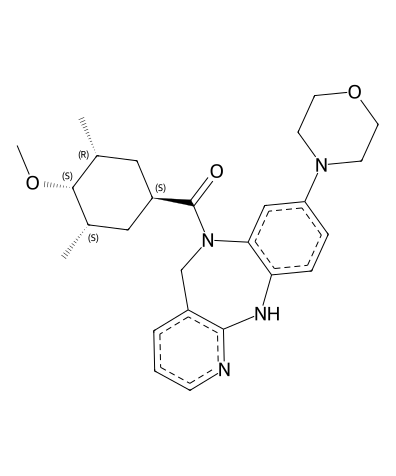 CO[C@@H]1[C@H](C)C[C@@H](C(=O)N2Cc3cccnc3Nc3ccc(N4CCOCC4)cc32)C[C@@H]1C